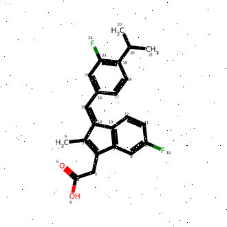 CC1=C(CC(=O)O)c2cc(F)ccc2/C1=C\c1ccc(C(C)C)c(F)c1